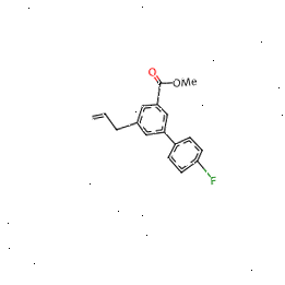 C=CCc1cc(C(=O)OC)cc(-c2ccc(F)cc2)c1